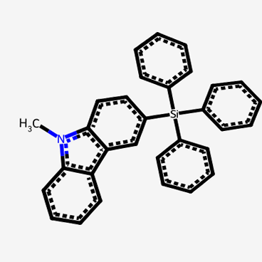 Cn1c2ccccc2c2cc([Si](c3ccccc3)(c3ccccc3)c3ccccc3)ccc21